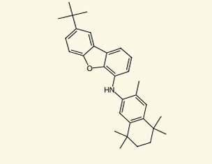 Cc1cc2c(cc1Nc1cccc3c1oc1ccc(C(C)(C)C)cc13)C(C)(C)CCC2(C)C